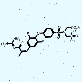 CC(=Cc1cc(F)c(Oc2ccc(S(=O)(=O)N(CC(=O)O)CP(=O)(O)O)cc2)c(F)c1)C(=O)N=C(N)N